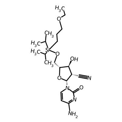 CCOCCC[Si](OC[C@H]1O[C@@H](n2ccc(N)nc2=O)[C@@H](C#N)[C@@H]1O)(C(C)C)C(C)C